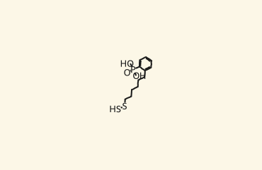 O=P(O)(O)c1ccccc1CCCCCCSS